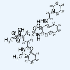 CC(NC(=O)c1cc(C(=O)NC(Cc2ccccc2)C(O)CNCCN2CCCCC2)cc(N(C)S(C)(=O)=O)c1)c1ccccc1